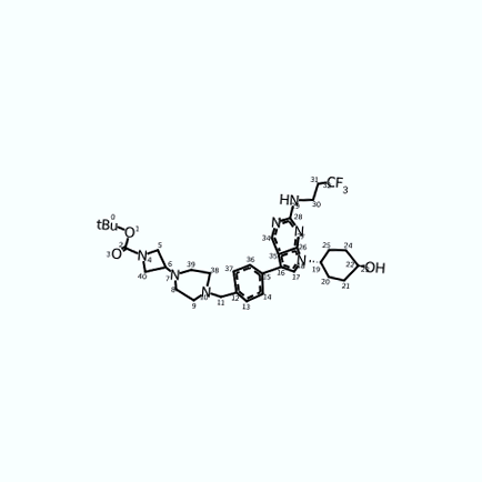 CC(C)(C)OC(=O)N1CC(N2CCN(Cc3ccc(-c4cn([C@H]5CC[C@H](O)CC5)c5nc(NCCC(F)(F)F)ncc45)cc3)CC2)C1